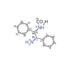 N[C@H](c1ccccc1)[C@H](NC(=O)O)c1ccccc1